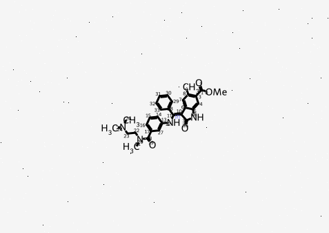 COC(=O)c1cc2c(cc1C)/C(=C(/Nc1cccc(C(=O)N(C)CCN(C)C)c1)c1ccccc1)C(=O)N2